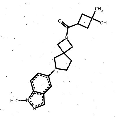 Cn1ncc2cc([C@@H]3CCC4(C3)CN(C(=O)C3CC(C)(O)C3)C4)ccc21